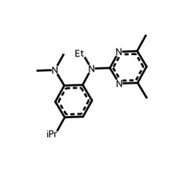 CCN(c1nc(C)cc(C)n1)c1ccc(C(C)C)cc1N(C)C